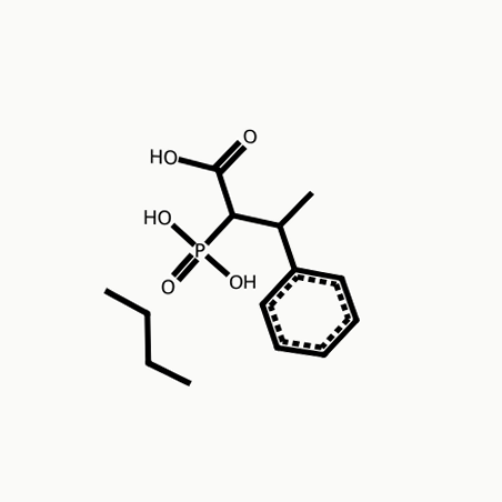 CC(c1ccccc1)C(C(=O)O)P(=O)(O)O.CCCC